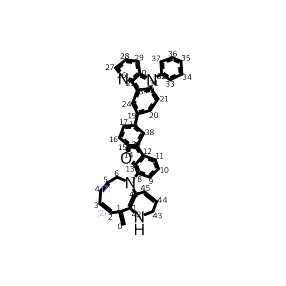 C=C1/C=C\C=C/CN(c2cccc3c2oc2ccc(-c4ccc5c(c4)c4ncccc4n5-c4ccccc4)cc23)C2=C1NCC=C2